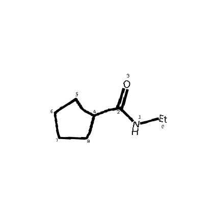 CCNC(=O)C1CCCC1